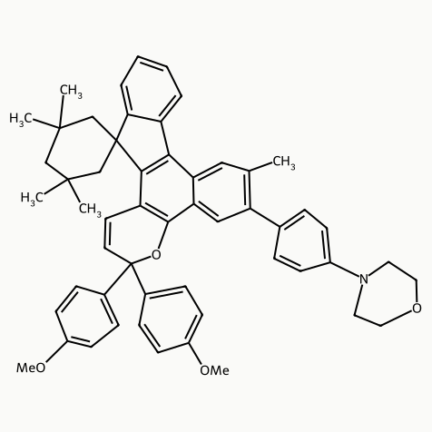 COc1ccc(C2(c3ccc(OC)cc3)C=Cc3c4c(c5cc(C)c(-c6ccc(N7CCOCC7)cc6)cc5c3O2)-c2ccccc2C42CC(C)(C)CC(C)(C)C2)cc1